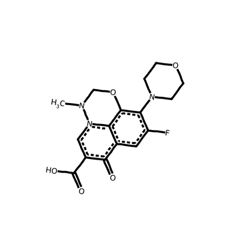 CN1COc2c(N3CCOCC3)c(F)cc3c(=O)c(C(=O)O)cn1c23